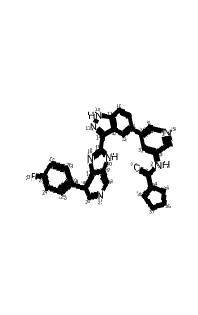 O=C(Nc1cncc(-c2ccc3[nH]nc(-c4nc5c(-c6ccc(F)cc6)cncc5[nH]4)c3c2)c1)C1CCCC1